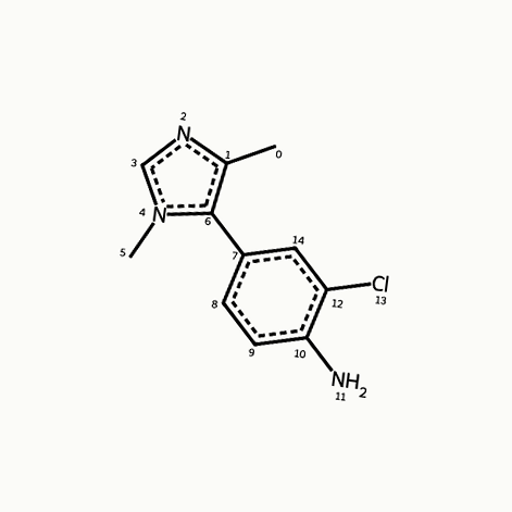 Cc1ncn(C)c1-c1ccc(N)c(Cl)c1